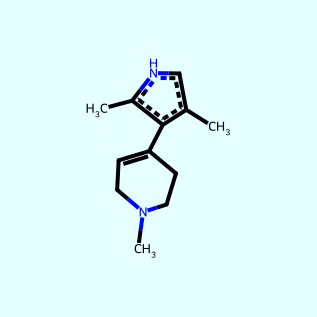 Cc1c[nH]c(C)c1C1=CCN(C)CC1